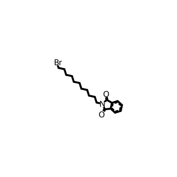 O=C1c2ccccc2C(=O)N1CCCCCCCCCCCBr